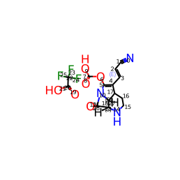 N#C/C=C/C1=C(OC(=O)O)N2C(=O)[C@H]3NCCC1[C@H]32.O=C(O)C(F)(F)F